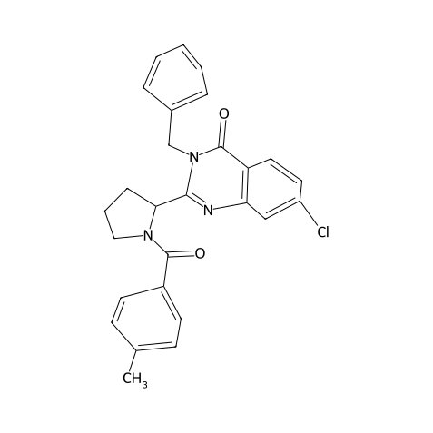 Cc1ccc(C(=O)N2CCCC2c2nc3cc(Cl)ccc3c(=O)n2Cc2ccccc2)cc1